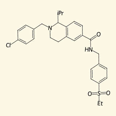 CCS(=O)(=O)c1ccc(CNC(=O)c2ccc3c(c2)CCN(Cc2ccc(Cl)cc2)C3C(C)C)cc1